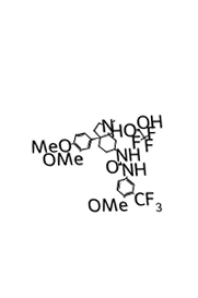 COc1ccc([C@]23CC[C@H](NC(=O)Nc4ccc(OC)c(C(F)(F)F)c4)C[C@H]2N(C)CC3)cc1OC.O=C(O)C(F)(F)F